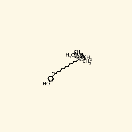 C[Si](C)(C)C[Si](C)(CCCCCCCCCCCOc1ccc(O)cc1)C[Si](C)(C)C